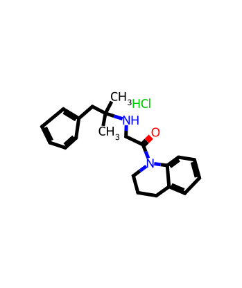 CC(C)(Cc1ccccc1)NCC(=O)N1CCCc2ccccc21.Cl